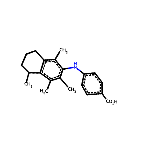 Cc1c(C)c2c(c(C)c1Nc1ccc(C(=O)O)cc1)CCCC2C